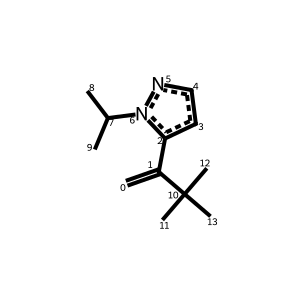 C=C(c1ccnn1C(C)C)C(C)(C)C